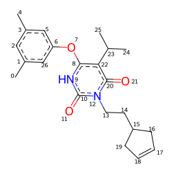 Cc1cc(C)cc(Oc2[nH]c(=O)n(CCC3CC=CC3)c(=O)c2C(C)C)c1